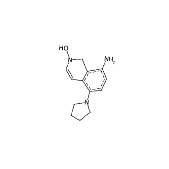 Nc1ccc(N2CCCC2)c2c1CN(O)C=C2